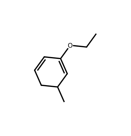 CCOC1=CC(C)CC=C1